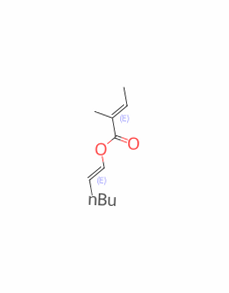 C/C=C(\C)C(=O)O/C=C/CCCC